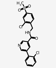 CS(=O)(=O)c1ccc(CNC(=O)c2cncc(-c3ccccc3Cl)c2)c(Cl)c1